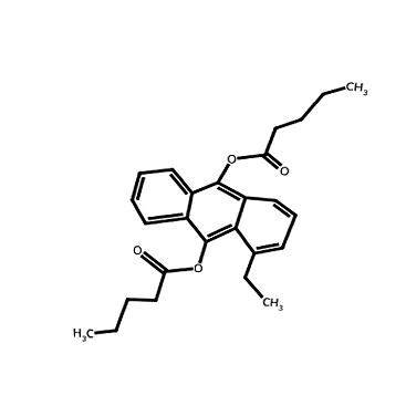 CCCCC(=O)Oc1c2ccccc2c(OC(=O)CCCC)c2c(CC)cccc12